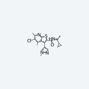 Cc1nc2sc(C(=O)N[C@@H](C)C3CC3)c(-c3cnn(C)c3)c2c(C)c1Cl